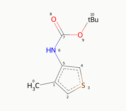 Cc1cscc1NC(=O)OC(C)(C)C